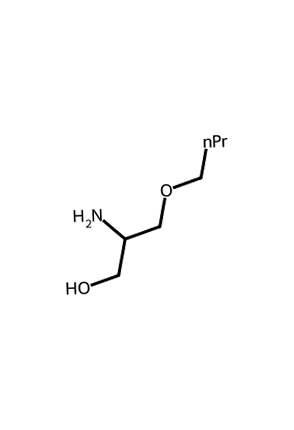 CCCCOCC(N)CO